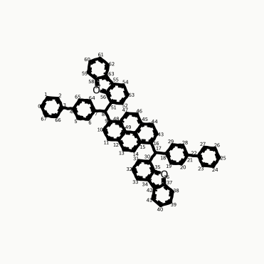 c1ccc(-c2ccc(C(c3ccc4ccc5c(C(c6ccc(-c7ccccc7)cc6)c6cccc7c6oc6ccccc67)ccc6ccc3c4c65)c3cccc4c3oc3ccccc34)cc2)cc1